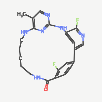 Cc1cnc2nc1NCCCCCNC(=O)c1ccc(cc1F)-c1cnc(F)c(c1)N2